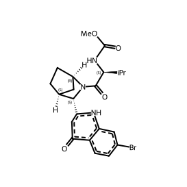 COC(=O)N[C@H](C(=O)N1[C@@H]2CC[C@@H](C2)[C@H]1c1cc(=O)c2ccc(Br)cc2[nH]1)C(C)C